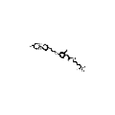 O=C(Cc1ccc(OCCCC2CCN(C3NCC(Cl)CN3)CC2)cc1F)NCCCCS(=O)(=O)O